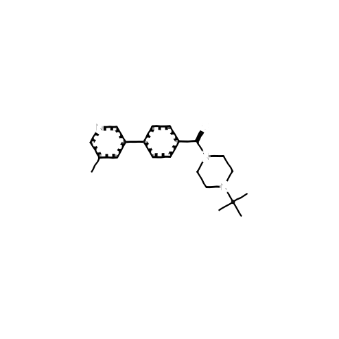 Cc1cncc(-c2ccc(C(=O)N3CCN(C(C)(C)C)CC3)cc2)c1